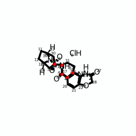 Cl.NC1CCN(S(=O)(=O)N2[C@@H]3CC[C@H]2C[C@@H](NC(=O)c2ccc4c(c2)NC(=O)CO4)C3)CC1